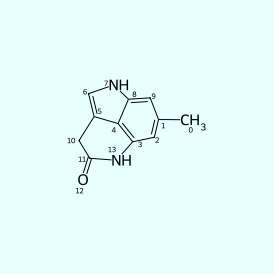 Cc1cc2c3c(c[nH]c3c1)CC(=O)N2